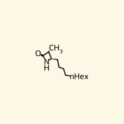 CCCCCCCCCC[C@H]1NC(=O)C1C